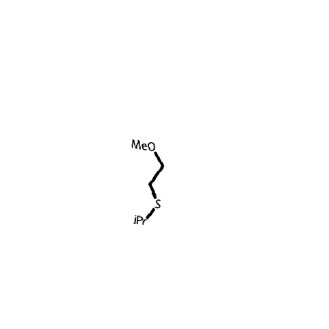 COCCSC(C)C